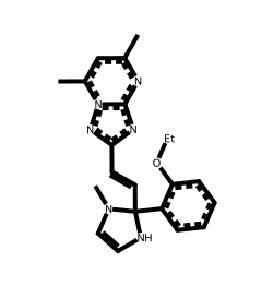 CCOc1ccccc1C1(C=Cc2nc3nc(C)cc(C)n3n2)NC=CN1C